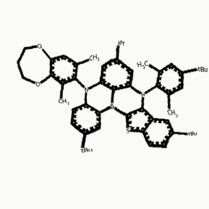 Cc1cc(C(C)(C)C)cc(C)c1N1c2cc(C(C)C)cc3c2B(c2cc(C(C)(C)C)ccc2N3c2c(C)cc3c(c2C)OCCCO3)c2sc3ccc(C(C)(C)C)cc3c21